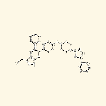 CCc1cnc2nc(-c3ccc(CN4CCC(c5n[nH]c(-c6ccccn6)n5)CC4)cc3)c(-c3ccccc3)cn12